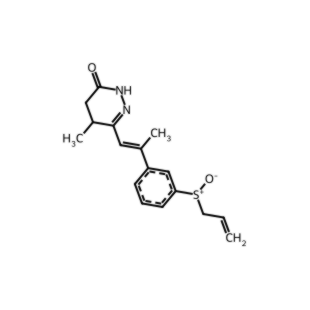 C=CC[S+]([O-])c1cccc(C(C)=CC2=NNC(=O)CC2C)c1